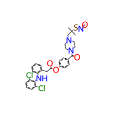 CC(C)(CN1CCN(C(=O)c2ccc(OC(=O)Cc3ccccc3Nc3c(Cl)cccc3Cl)cc2)CC1)SN=O